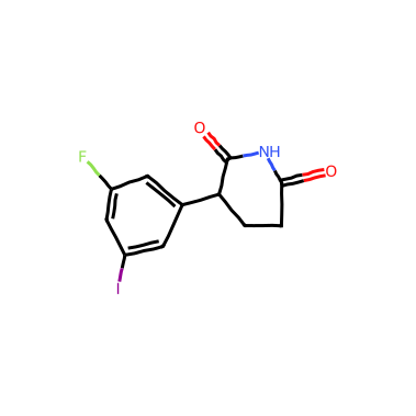 O=C1CCC(c2cc(F)cc(I)c2)C(=O)N1